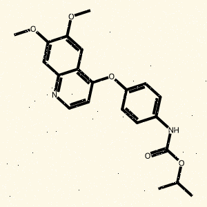 COc1cc2nccc(Oc3ccc(NC(=O)OC(C)C)cc3)c2cc1OC